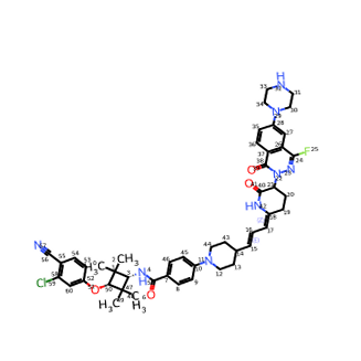 CC1(C)[C@H](NC(=O)c2ccc(N3CCC(/C=C/C=C4/CCC(n5nc(F)c6cc(N7CCNCC7)ccc6c5=O)C(=O)N4)CC3)cc2)C(C)(C)[C@H]1Oc1ccc(C#N)c(Cl)c1